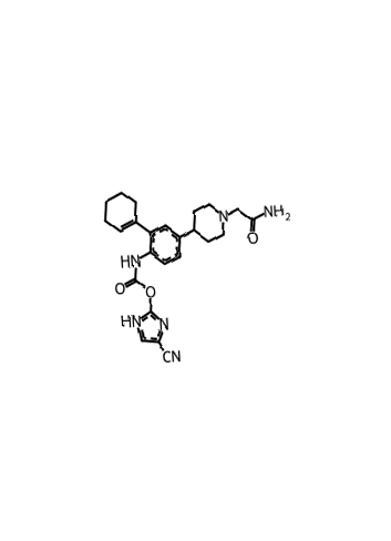 N#Cc1c[nH]c(OC(=O)Nc2ccc(C3CCN(CC(N)=O)CC3)cc2C2=CCCCC2)n1